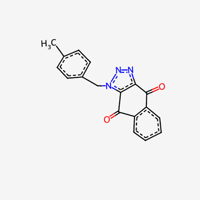 Cc1ccc(Cn2nnc3c2C(=O)c2ccccc2C3=O)cc1